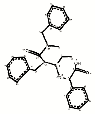 CCN(N[C@H](C(=O)O)c1ccccc1)[C@@H](Cc1ccccc1)C(=O)N(C)Cc1ccccc1